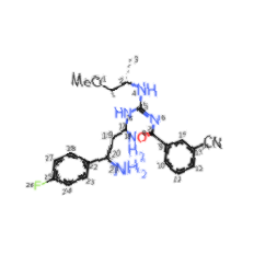 COC[C@H](C)N/C(=N/C(=O)c1cccc(C#N)c1)NC(N)CC(N)c1ccc(F)cc1